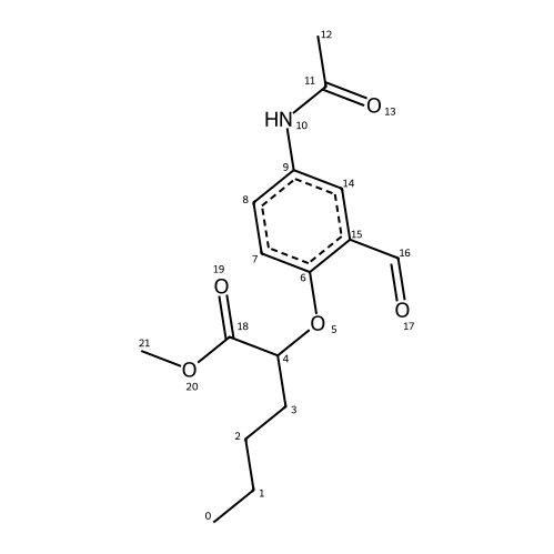 CCCCC(Oc1ccc(NC(C)=O)cc1C=O)C(=O)OC